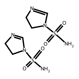 NS(=O)(=O)N1C=NCC1.NS(=O)(=O)N1C=NCC1